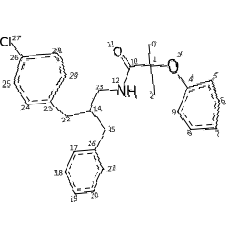 CC(C)(Oc1ccccc1)C(=O)NCC(Cc1ccccc1)Cc1ccc(Cl)cc1